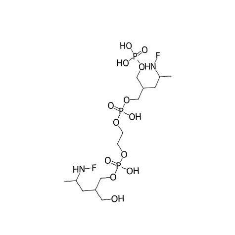 CC(CC(CO)COP(=O)(O)OCCOP(=O)(O)OCC(COP(=O)(O)O)CC(C)NF)NF